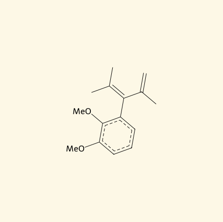 C=C(C)C(=C(C)C)c1cccc(OC)c1OC